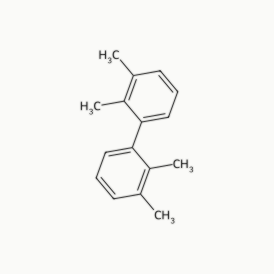 Cc1cccc(-c2cccc(C)c2C)c1C